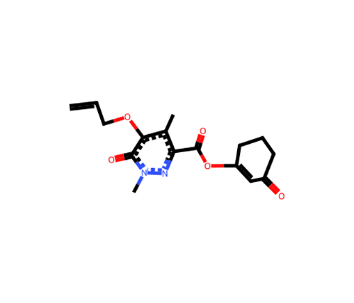 C=CCOc1c(C)c(C(=O)OC2=CC(=O)CCC2)nn(C)c1=O